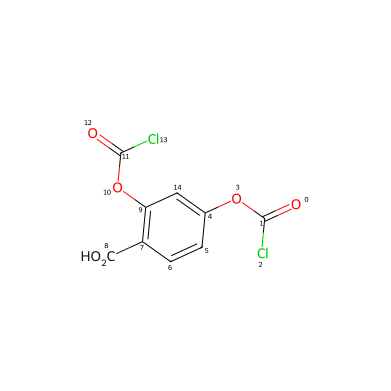 O=C(Cl)Oc1ccc(C(=O)O)c(OC(=O)Cl)c1